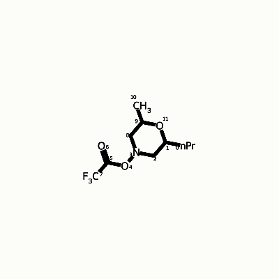 CCCC1CN(OC(=O)C(F)(F)F)CC(C)O1